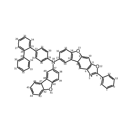 c1ccc(-c2nc3cc4c(cc3o2)oc2ccc(N(c3ccc(-c5ccccc5-c5ccccc5)cc3)c3ccc5oc6ccccc6c5c3)cc24)cc1